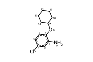 Nc1cc(Cl)ccc1OC1CCCCC1